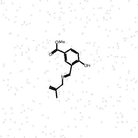 C=C(C)C/N=C/c1cc(C(=O)OC)ccc1O